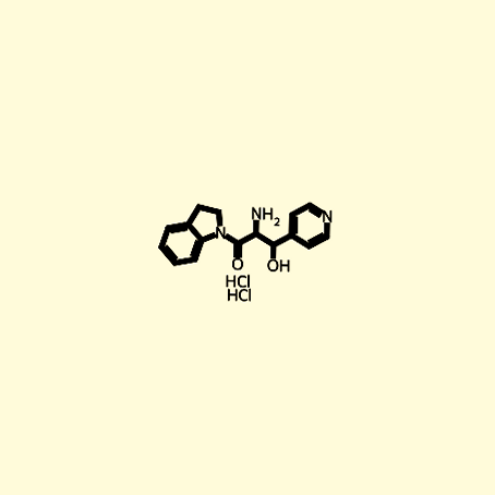 Cl.Cl.NC(C(=O)N1CCc2ccccc21)C(O)c1ccncc1